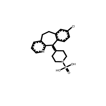 O=P(O)(O)N1CCC(=C2c3ccc(Cl)cc3CCc3cccnc32)CC1